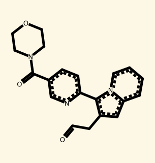 O=CCc1cc2ccccn2c1-c1ccc(C(=O)N2CCOCC2)cn1